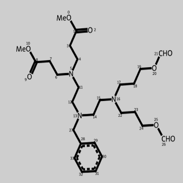 COC(=O)CCN(CCC(=O)OC)CCN(CCN(CCCOC=O)CCCOC=O)Cc1ccccc1